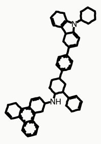 C1=CCCC(C2CC(c3ccc(C4=CC=C5C(C4)C4=C(CCC=C4)N5C4CCCCC4)cc3)CCC2NC2C=Cc3c4c(c5ccccc5c3C2)C=CCC4)=C1